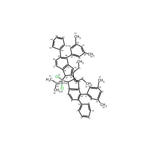 CCCC1=Cc2c(ccc(-c3ccccc3)c2-c2cc(C)cc(C)c2)[CH]1[Zr]([Cl])([Cl])([CH]1C(CCC)=Cc2c1ccc(-c1ccccc1)c2-c1cc(C)cc(C)c1)[SiH](C)C